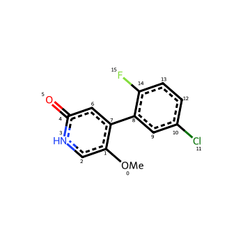 COc1c[nH]c(=O)cc1-c1cc(Cl)ccc1F